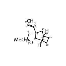 C/C=C/[C@]1(CC(=O)OC)C[C@H]2CC[C@H]2C1